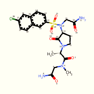 C[C@@H](C(=O)N(C)CC(N)=O)N1CC[C@H](N(CC(N)=O)S(=O)(=O)c2ccc3cc(Cl)ccc3c2)C1=O